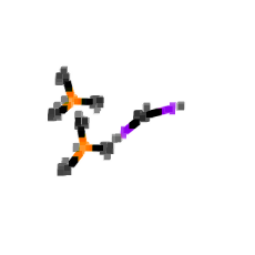 CCP(CC)CC.CCP(CC)CC.[I][Pd][I]